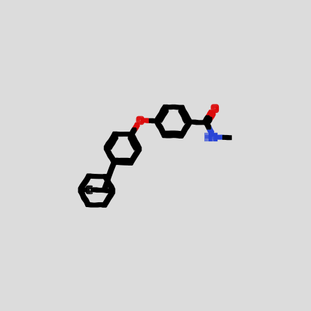 CNC(=O)c1ccc(Oc2ccc(C3CC4CCC3CC4)cc2)cc1